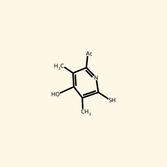 CC(=O)c1nc(S)c(C)c(O)c1C